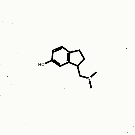 CN(C)CC1CCc2ccc(O)cc21